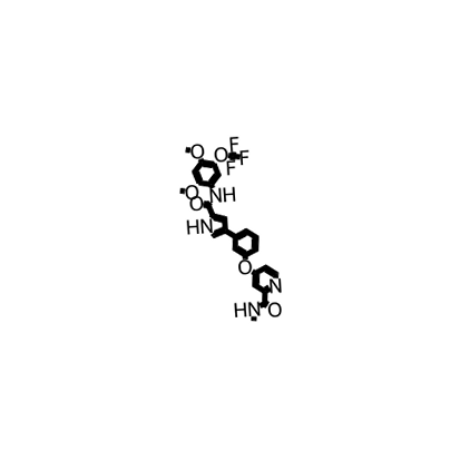 CNC(=O)c1cc(Oc2cccc(-c3c[nH]c(C(=O)Nc4cc(OC(F)(F)F)c(OC)cc4OC)c3)c2)ccn1